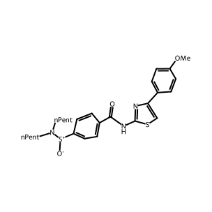 CCCCCN(CCCCC)[S+]([O-])c1ccc(C(=O)Nc2nc(-c3ccc(OC)cc3)cs2)cc1